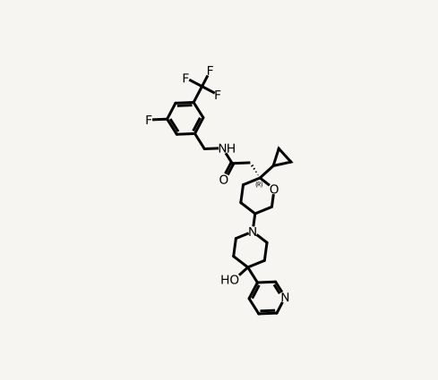 O=C(C[C@@]1(C2CC2)CCC(N2CCC(O)(c3cccnc3)CC2)CO1)NCc1cc(F)cc(C(F)(F)F)c1